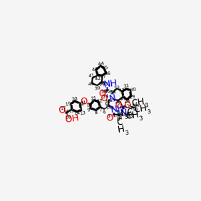 C[C@@H](C(=O)N[C@@H](Cc1ccc(Oc2ccc(C(=O)O)cc2)cc1)C(=O)N1Cc2ccccc2C[C@H]1C(=O)N[C@@H]1CCCc2ccccc21)N(C)C(=O)OC(C)(C)C